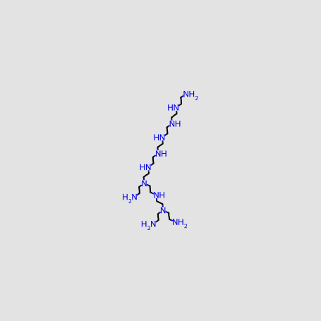 NCCNCCNCCNCCNCCNCCN(CCN)CCNCCN(CCN)CCN